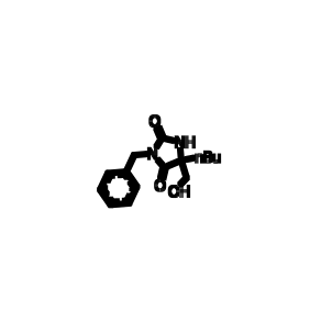 CCCCC1(CO)NC(=O)N(Cc2ccccc2)C1=O